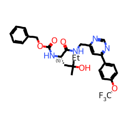 CCC(C)(O)C[C@H](NC(=O)OCc1ccccc1)C(=O)NCc1cc(-c2ccc(OC(F)(F)F)cc2)ncn1